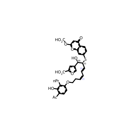 CCCc1c(OCC/C=C\C=C\[C@H](Sc2ccc3c(=O)cc(OC(=O)O)oc3c2)[C@H](O)c2coc(C(=O)O)c2)ccc(C(C)=O)c1O